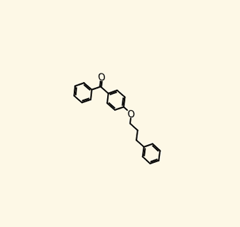 O=C(c1ccccc1)c1ccc(OCCCc2ccccc2)cc1